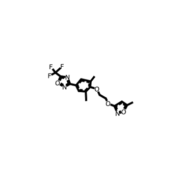 Cc1cc(OCCOc2c(C)cc(-c3noc(C(F)(F)F)n3)cc2C)no1